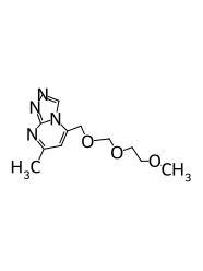 COCCOCOCc1cc(C)nc2nncn12